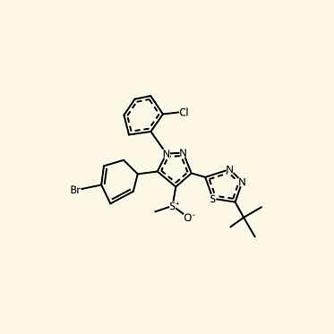 C[S+]([O-])c1c(-c2nnc(C(C)(C)C)s2)nn(-c2ccccc2Cl)c1C1C=CC(Br)=CC1